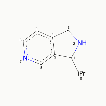 CC(C)C1NCc2ccncc21